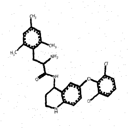 Cc1cc(C)c(CC(N)C(=O)NC2CCNc3ccc(Oc4c(Cl)cccc4Cl)cc32)c(C)c1